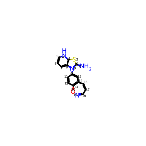 NC1SC2NC=CC=C2N1c1ccc2c(c1)C=CC=NO2